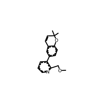 COCc1ncccc1-c1ccc2c(c1)C=CC(C)(C)O2